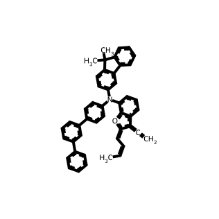 C=C=c1/c(=C\C=C/C)oc2c(N(c3ccc(-c4cccc(-c5ccccc5)c4)cc3)c3ccc4c(c3)-c3ccccc3C4(C)C)cccc12